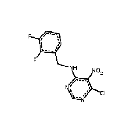 O=[N+]([O-])c1c(Cl)ncnc1NCc1cccc(F)c1F